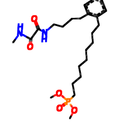 CNC(=O)C(=O)NCCCCc1ccccc1CCCCCCCCCP(=O)(OC)OC